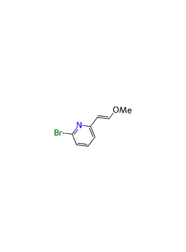 COC=Cc1cccc(Br)n1